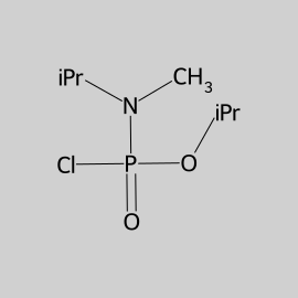 CC(C)OP(=O)(Cl)N(C)C(C)C